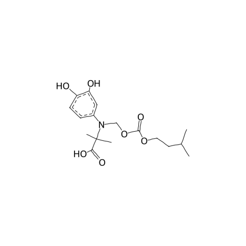 CC(C)CCOC(=O)OCN(c1ccc(O)c(O)c1)C(C)(C)C(=O)O